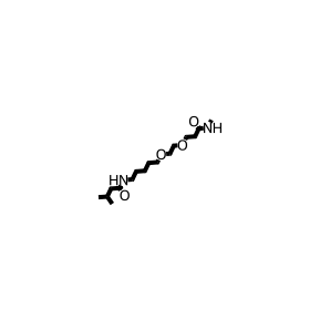 CNC(=O)CCOCCOCCCCCNC(=O)CC(C)C